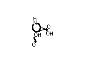 C1CCCNCC1.O=C(O)Cl.O=CCO